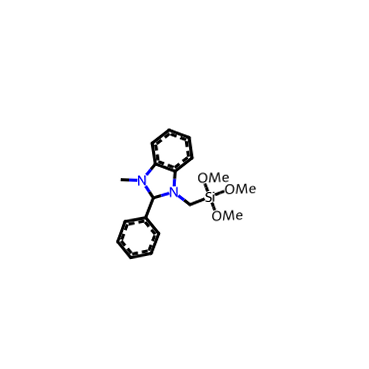 CO[Si](CN1c2ccccc2N(C)C1c1ccccc1)(OC)OC